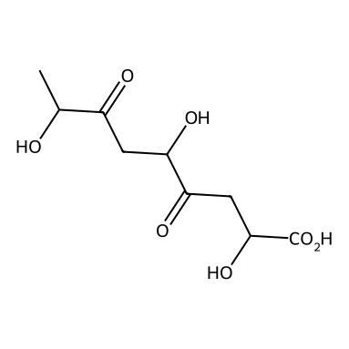 CC(O)C(=O)CC(O)C(=O)CC(O)C(=O)O